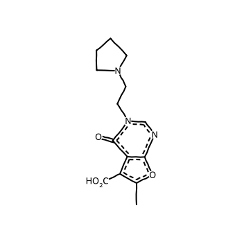 Cc1oc2ncn(CCN3CCCC3)c(=O)c2c1C(=O)O